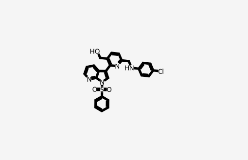 O=S(=O)(c1ccccc1)n1cc(-c2nc(CNc3ccc(Cl)cc3)ccc2CO)c2cccnc21